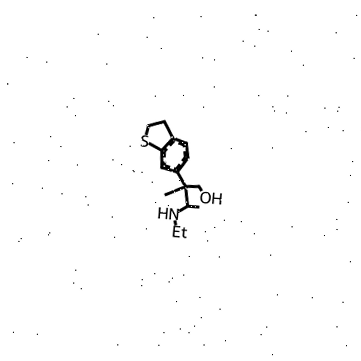 CCNC(C)C(C)(CO)c1ccc2c(c1)SCC2